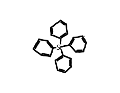 [c]1cccc([Si](c2ccccc2)(c2ccccc2)c2ccccc2)c1